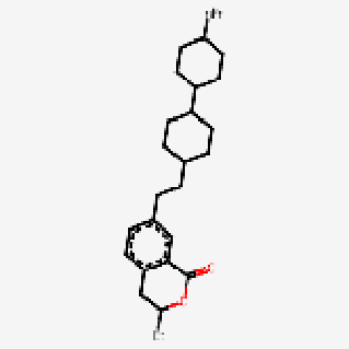 CCCC1CCC(C2CCC(CCc3ccc4c(c3)C(=O)OC(CC)C4)CC2)CC1